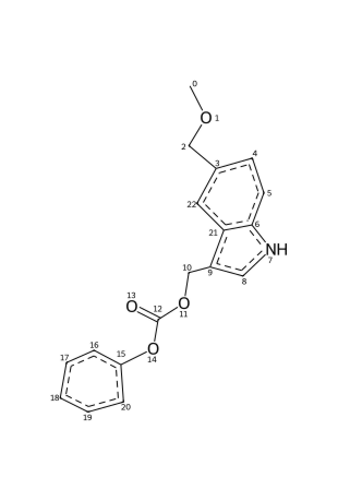 COCc1ccc2[nH]cc(COC(=O)Oc3ccccc3)c2c1